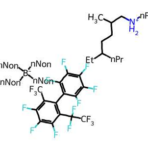 CCCCCCCCC[B-](CCCCCCCCC)(CCCCCCCCC)CCCCCCCCC.CCC[NH2+]CC(C)CCC(CC)CCC.Fc1c(F)c(F)c(-c2c(C(F)(F)F)c(F)c(F)c(F)c2C(F)(F)C(F)(F)F)c(F)c1F